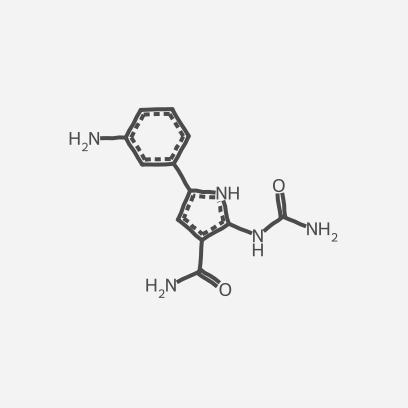 NC(=O)Nc1[nH]c(-c2cccc(N)c2)cc1C(N)=O